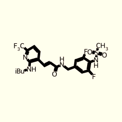 CCC(C)Nc1nc(C(F)(F)F)ccc1C=CC(=O)NCc1cc(F)c(NS(C)(=O)=O)c(F)c1